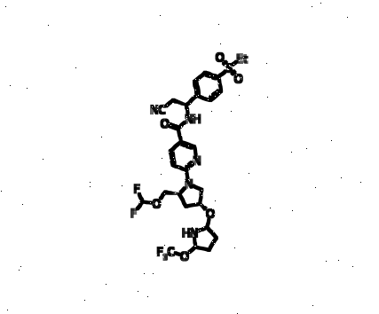 CCS(=O)(=O)c1ccc([C@H](CC#N)NC(=O)c2ccc(N3C[C@@H](OC4CCC(OC(F)(F)F)N4)C[C@H]3COC(F)F)nc2)cc1